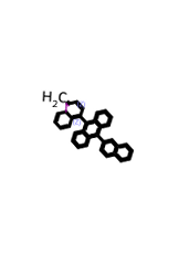 C=C(I)/C=C\C(=C1\C=CC=CC1)c1c2ccccc2c(-c2ccc3ccccc3c2)c2ccccc12